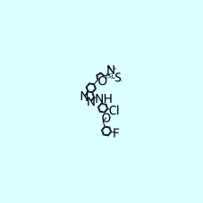 CSC[C@H](c1ccc(-c2ccc3ncnc(Nc4ccc(OCc5cccc(F)c5)c(Cl)c4)c3c2)o1)N(C)C